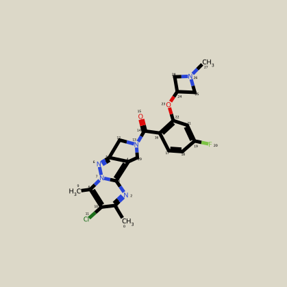 Cc1nc2c3c(nn2c(C)c1Cl)CN(C(=O)c1ccc(F)cc1OC1CN(C)C1)C3